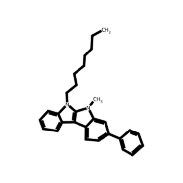 CCCCCCCCn1c2ccccc2c2c3ccc(-c4ccccc4)cc3n(C)c21